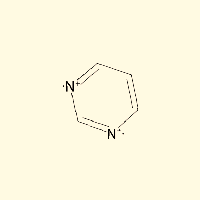 C1=C[N+]=C[N+]=C1